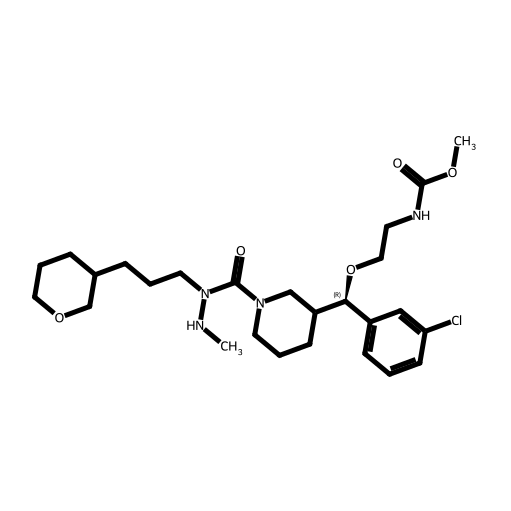 CNN(CCCC1CCCOC1)C(=O)N1CCCC([C@@H](OCCNC(=O)OC)c2cccc(Cl)c2)C1